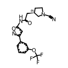 N#CN1CC[C@H](CC(=O)Nc2cc(-c3cccc(OC(F)(F)F)c3)no2)C1